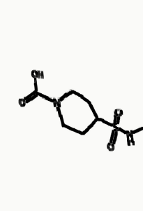 CNS(=O)(=O)C1CCN(C(=O)O)CC1